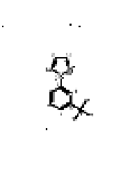 CC(C)(C)c1cccc(-n2[c]ccn2)c1